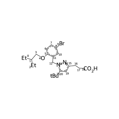 CCC(CC)COc1ccc(Br)cc1Cn1nc(CCC(=O)O)cc1C(C)(C)C